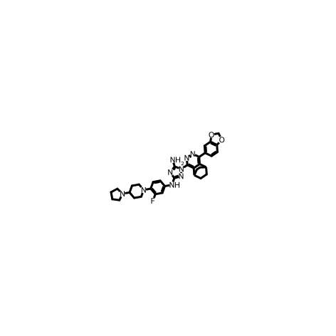 Nc1nc(Nc2ccc(N3CCC(N4CCCC4)CC3)c(F)c2)nn1-c1nnc(-c2ccc3c(c2)OCO3)c2c1C1CCC2CC1